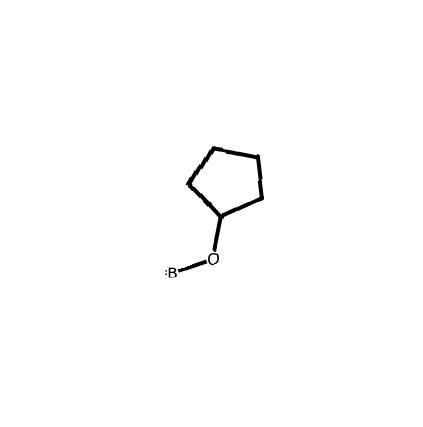 [B]OC1CCCC1